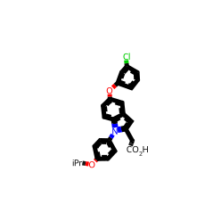 CC(C)Oc1ccc(-n2c(CC(=O)O)cc3cc(Oc4cccc(Cl)c4)ccc32)cc1